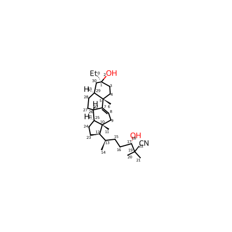 CC[C@]1(O)CC[C@]2(C)C3=CC[C@]4(C)[C@@H]([C@H](C)CC[C@H](O)C(C)(C)C#N)CC[C@H]4[C@@H]3CC[C@H]2C1